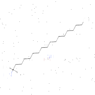 Br.CCCCCCCCCCCCCCCCCC(C)(C)N.N